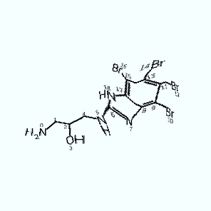 NCC(O)CNc1nc2c(Br)c(Br)c(Br)c(Br)c2[nH]1